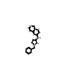 c1ccc(CN2CCC(Nc3ccc4cnccc4c3)C2)cc1